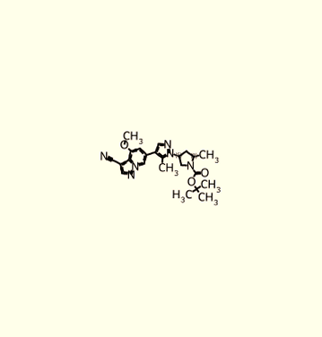 COc1cc(-c2cnn([C@H]3C[C@@H](C)N(C(=O)OC(C)(C)C)C3)c2C)cn2ncc(C#N)c12